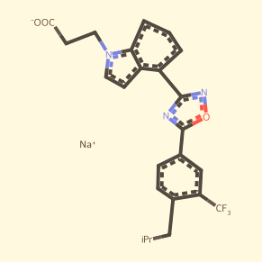 CC(C)Cc1ccc(-c2nc(-c3cccc4c3ccn4CCC(=O)[O-])no2)cc1C(F)(F)F.[Na+]